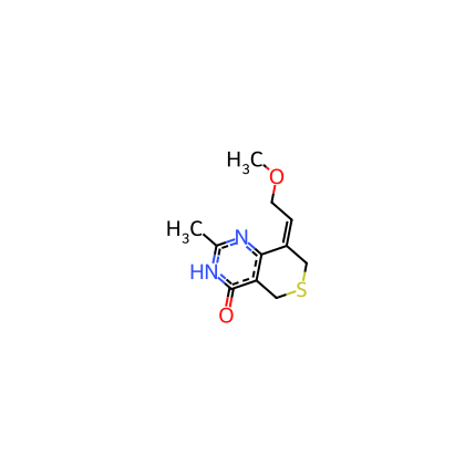 COC/C=C1/CSCc2c1nc(C)[nH]c2=O